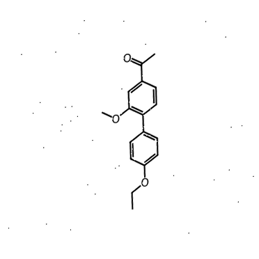 CCOc1ccc(-c2ccc(C(C)=O)cc2OC)cc1